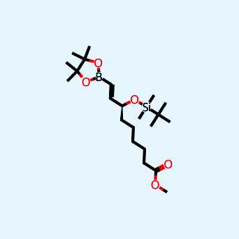 COC(=O)CCCCC[C@@H](/C=C/B1OC(C)(C)C(C)(C)O1)O[Si](C)(C)C(C)(C)C